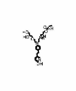 CCNC(=O)OCc1cn(CCN(CCOCC(O)CO)c2ccc(/C=C/c3ccc(O)nc3)cc2)nn1